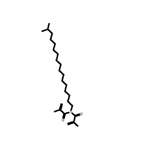 C=C(C)[C](=O)[Ti]([CH2]CCCCCCCCCCCCCCC(C)C)[C](=O)C(=C)C